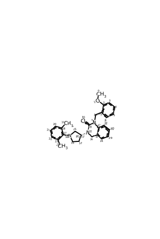 COc1ccccc1CN1C(=O)N([C@@H]2CCN(c3c(C)cccc3C)C2)Cc2ccccc21